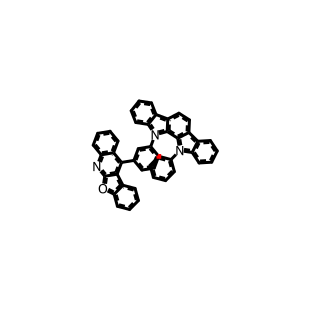 c1ccc(-n2c3ccccc3c3ccc4c5ccccc5n(-c5cccc(-c6c7ccccc7nc7oc8ccccc8c67)c5)c4c32)cc1